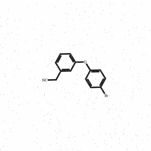 N#CCc1cccc(Oc2ccc(Br)cc2)c1